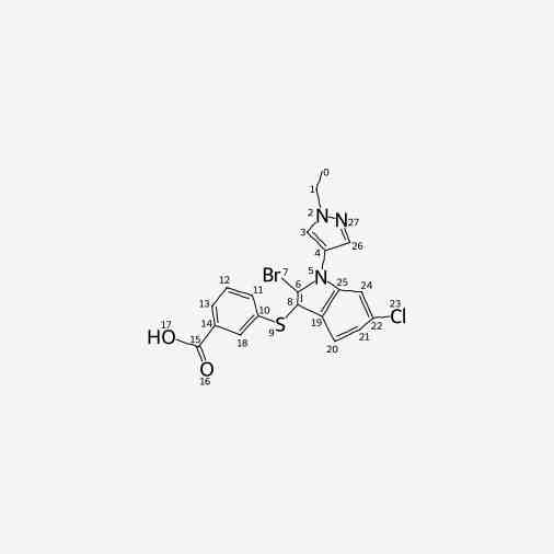 CCn1cc(-n2c(Br)c(Sc3cccc(C(=O)O)c3)c3ccc(Cl)cc32)cn1